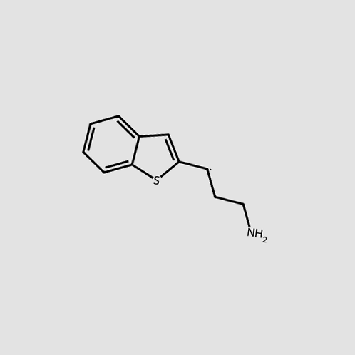 NCC[CH]c1cc2ccccc2s1